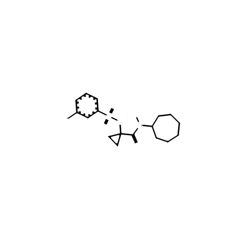 CCCN(C(=O)C1(NS(=O)(=O)c2cccc(Cl)c2)CC1)C1CCCCCC1